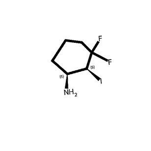 N[C@H]1CCCC(F)(F)[C@H]1I